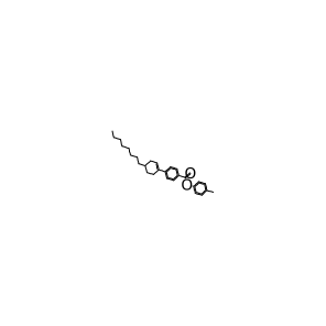 CCCCCCCCC1CC=C(c2ccc(C(=O)Oc3ccc(C)cc3)cc2)CC1